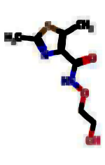 Cc1nc(C(=O)NOCCO)c(C)s1